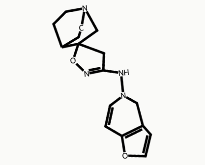 C1=CN(NC2=NOC3(C2)CN2CCC3CC2)Cc2ccoc21